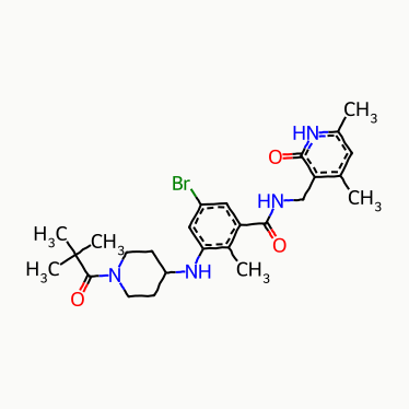 Cc1cc(C)c(CNC(=O)c2cc(Br)cc(NC3CCN(C(=O)C(C)(C)C)CC3)c2C)c(=O)[nH]1